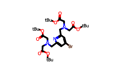 CC(C)(C)OC(=O)CN(CC(=O)OC(C)(C)C)Cc1cc(Br)cc(CN(CC(=O)OC(C)(C)C)CC(=O)OC(C)(C)C)n1